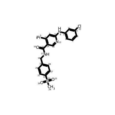 CC(C)c1cc(Nc2cccc(Cl)c2)ncc1C(=O)NCc1ccc(S(C)(=O)=O)cc1